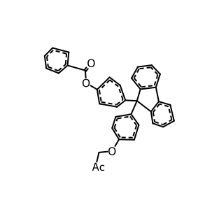 CC(=O)COc1ccc(C2(c3ccc(OC(=O)c4ccccc4)cc3)c3ccccc3-c3ccccc32)cc1